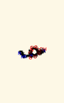 CC[C@H]1OC(=O)[C@H](C)C(=O)[C@H](C)[C@@H](O[C@@H]2O[C@H](C)C[C@H](N(C)C)[C@H]2O)[C@](C)(OC)C[C@@H](C)C(=O)[C@H](C)C(N(C=O)CCCCn2cnc(-c3cccnc3)c2)[C@]1(C)OC